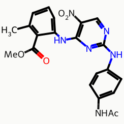 COC(=O)c1c(C)cccc1Nc1nc(Nc2ccc(NC(C)=O)cc2)ncc1[N+](=O)[O-]